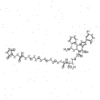 CC(C)(C)[C@H](c1cc(-c2cc(F)ccc2F)cn1Cc1ccccc1)N(CCCN)C(=O)CSCCC(NC(=O)CCOCCOCCOCCOCCNC(=O)CCN1C(=O)C=CC1=O)C(=O)O